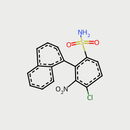 NS(=O)(=O)c1ccc(Cl)c([N+](=O)[O-])c1-c1cccc2ccccc12